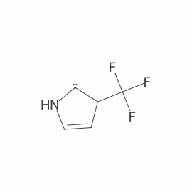 FC(F)(F)C1[C]NC=C1